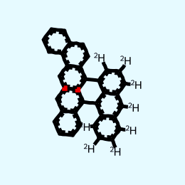 [2H]c1c([2H])c([2H])c2c(-c3cccc4ccccc34)c3c(-c4cccc5c4ccc4ccccc45)c([2H])c([2H])c([2H])c3c([2H])c2c1[2H]